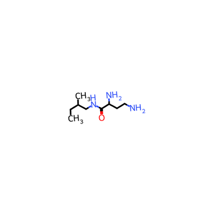 CCC(C)CNC(=O)C(N)CCN